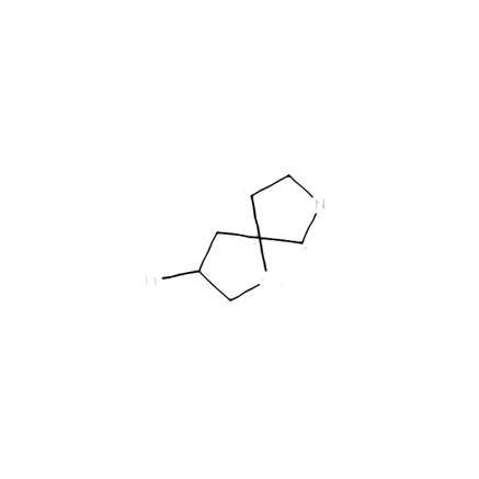 CC(C)C1COC2(CCNC2)C1